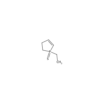 CCP1(=S)C=CCC1